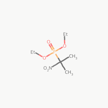 CCOP(=O)(OCC)C(C)(C)[N+](=O)[O-]